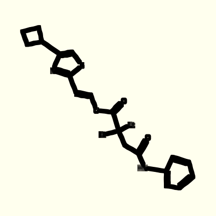 CCC(CC)(CC(=O)Nc1ccccc1)C(=O)OC=Cc1nc(C2CCC2)cs1